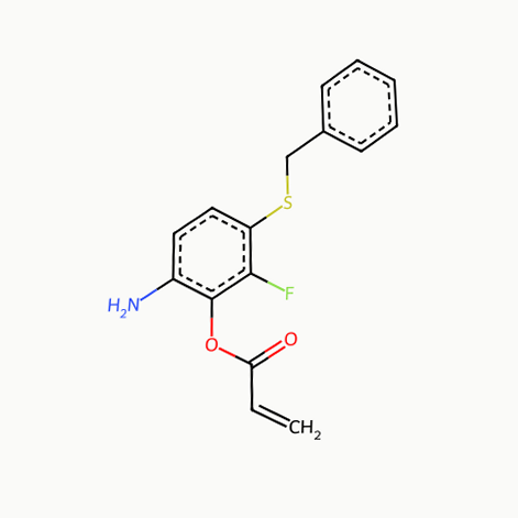 C=CC(=O)Oc1c(N)ccc(SCc2ccccc2)c1F